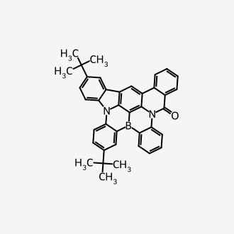 CC(C)(C)c1ccc2c(c1)B1c3ccccc3-n3c(=O)c4ccccc4c4cc5c6cc(C(C)(C)C)ccc6n-2c5c1c43